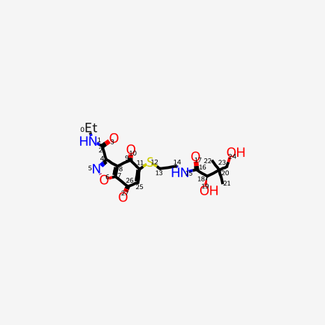 CCNC(=O)c1noc2c1C(=O)C(SCCNC(=O)[C@H](O)C(C)(C)CO)=CC2=O